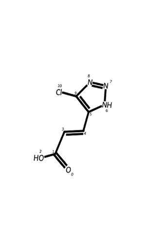 O=C(O)C=Cc1[nH]nnc1Cl